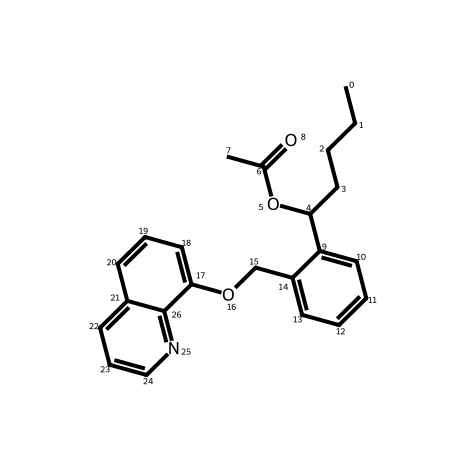 CCCCC(OC(C)=O)c1ccccc1COc1cccc2cccnc12